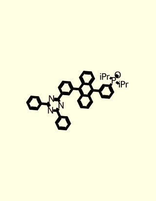 CC(C)P(=O)(c1cccc(-c2c3ccccc3c(-c3cccc(-c4nc(-c5ccccc5)nc(-c5ccccc5)n4)c3)c3ccccc23)c1)C(C)C